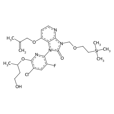 C=C(C)COc1ccnc2c1n(-c1nc(OC(C)CCO)c(Cl)cc1F)c(=O)n2COCC[Si](C)(C)C